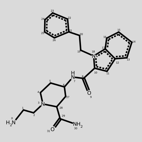 NCCN1CCC(NC(=O)c2cc3ccccc3n2CCc2ccccc2)CC1C(N)=O